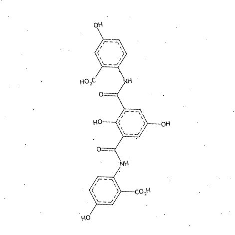 O=C(O)c1cc(O)ccc1NC(=O)c1cc(O)cc(C(=O)Nc2ccc(O)cc2C(=O)O)c1O